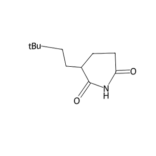 CC(C)(C)CCC1CCC(=O)NC1=O